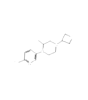 CCc1ccc(N2CCN(C3COC3)CC2C)cn1